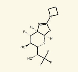 O[C@H]1[C@H](F)[C@H]2N=C(N3CCC3)S[C@H]2S[C@@H]1[C@@H](O)C(F)(F)F